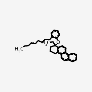 CCCCCCCCCc1ccccc1OC1(CC)CCCc2c1ccc1c2ccc2ccccc21